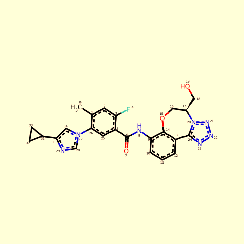 Cc1cc(F)c(C(=O)Nc2cccc3c2OC[C@@H](CO)n2nnnc2-3)cc1-n1cnc(C2CC2)c1